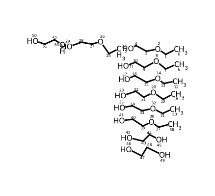 CCOCCO.CCOCCO.CCOCCO.CCOCCO.CCOCCO.CCOCCO.CCOCCO.OCCO.OCCO.OCCO